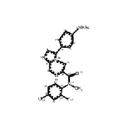 CC(=O)Nc1ccc(-c2cnc3cnc(C(=O)N(C)c4ccc(Cl)cc4F)cn23)cc1